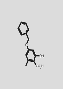 Cc1cc(OCc2ccccc2)cc(O)c1C(=O)O